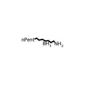 B.CCCCCCCCCCCCN